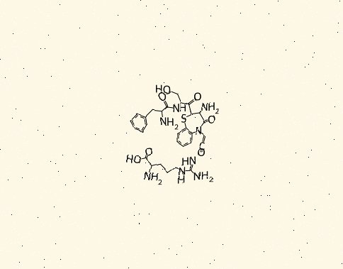 N=C(N)NCCCC(N)C(=O)O.NC(Cc1ccccc1)C(=O)NC(CO)C(=O)C1Sc2ccccc2N(C=C=O)C(=O)[C@@H]1N